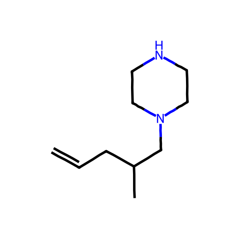 C=CCC(C)CN1CCNCC1